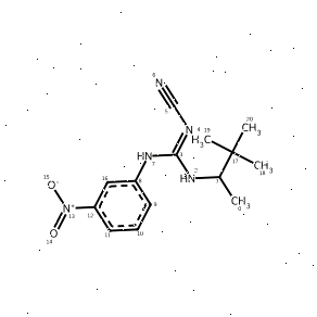 CC(N/C(=N/C#N)Nc1cccc([N+](=O)[O-])c1)C(C)(C)C